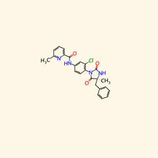 Cc1cccc(C(=O)Nc2ccc(N3C(=O)N[C@@](C)(Cc4ccccc4)C3=O)c(Cl)c2)n1